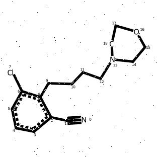 N#Cc1cccc(Cl)c1CCCCN1CCOCC1